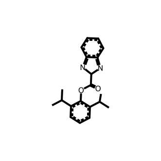 CC(C)c1cccc(C(C)C)c1OC(=O)C1N=c2ccccc2=N1